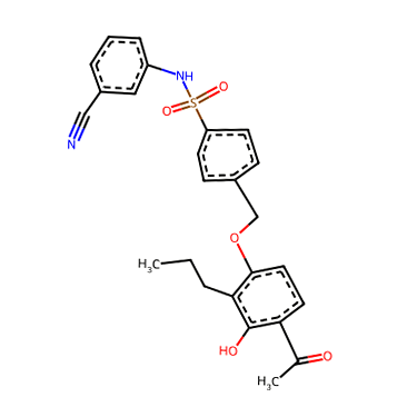 CCCc1c(OCc2ccc(S(=O)(=O)Nc3cccc(C#N)c3)cc2)ccc(C(C)=O)c1O